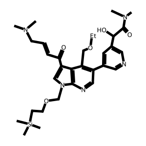 CCOCc1c(-c2cncc(C(O)C(=O)N(C)C)c2)cnc2c1c(C(=O)C=CCN(C)C)cn2COCC[Si](C)(C)C